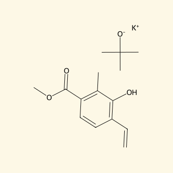 C=Cc1ccc(C(=O)OC)c(C)c1O.CC(C)(C)[O-].[K+]